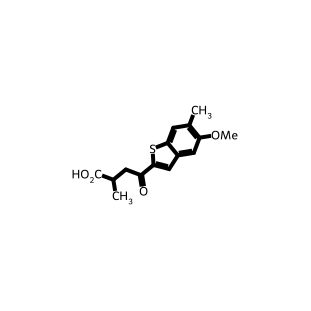 COc1cc2cc(C(=O)CC(C)C(=O)O)sc2cc1C